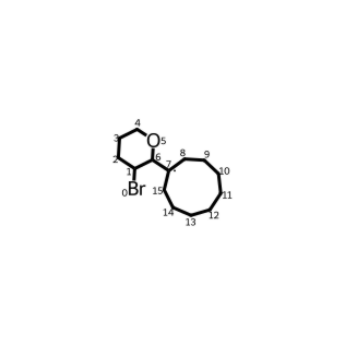 BrC1CCCOC1[C]1CCCCCCCC1